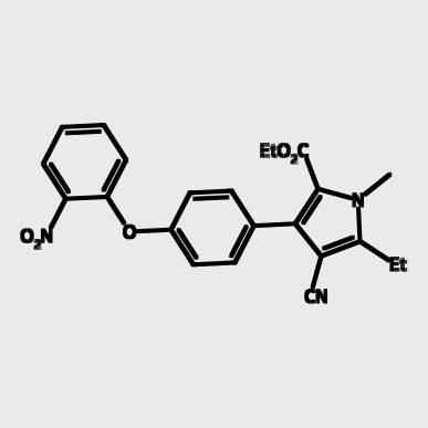 CCOC(=O)c1c(-c2ccc(Oc3ccccc3[N+](=O)[O-])cc2)c(C#N)c(CC)n1C